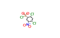 O=[N+]([O-])c1cc(S(=O)(=O)Cl)c(Cl)cc1Cl